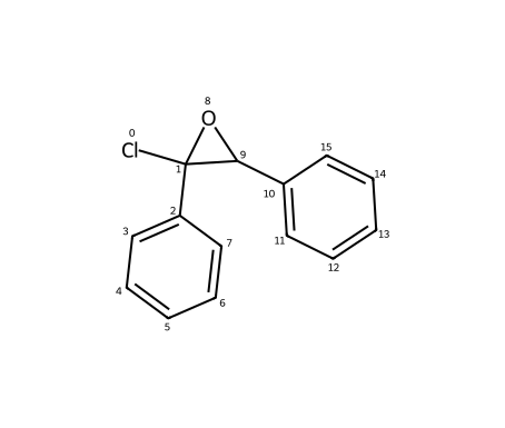 ClC1(c2ccccc2)OC1c1ccccc1